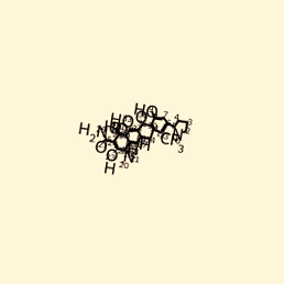 CN1CCCC1c1cc(O)c2c(c1C(F)(F)F)C[C@H]1C[C@H]3[C@H](N(C)C)C(O)=C(C(N)=O)C(=O)[C@@]3(O)C(O)=C1C2=O